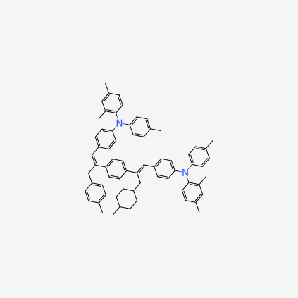 Cc1ccc(CC(=Cc2ccc(N(c3ccc(C)cc3)c3ccc(C)cc3C)cc2)c2ccc(C(=Cc3ccc(N(c4ccc(C)cc4)c4ccc(C)cc4C)cc3)CC3CCC(C)CC3)cc2)cc1